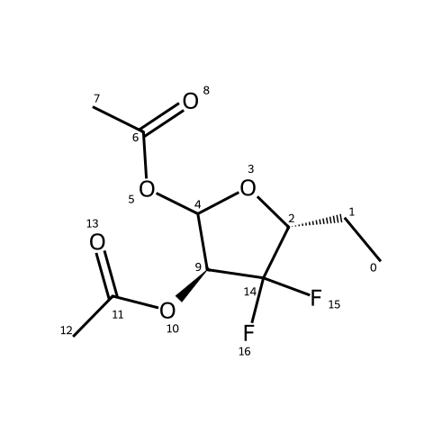 CC[C@H]1OC(OC(C)=O)[C@H](OC(C)=O)C1(F)F